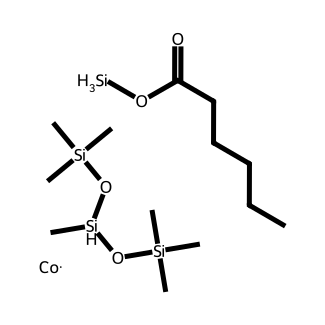 CCCCCC(=O)O[SiH3].C[SiH](O[Si](C)(C)C)O[Si](C)(C)C.[Co]